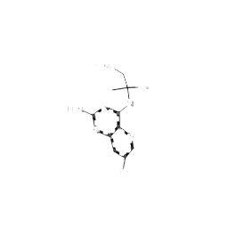 CCCCC(C)(CNC(C)=O)Nc1nc(N)nc2cc(CC)cnc12